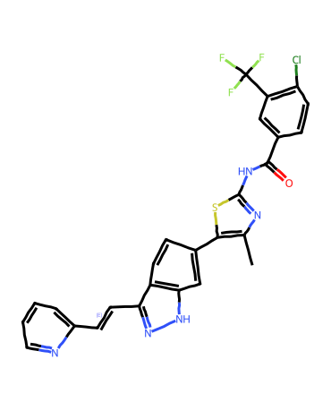 Cc1nc(NC(=O)c2ccc(Cl)c(C(F)(F)F)c2)sc1-c1ccc2c(/C=C/c3ccccn3)n[nH]c2c1